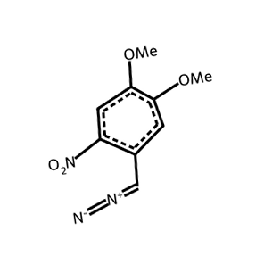 COc1cc(C=[N+]=[N-])c([N+](=O)[O-])cc1OC